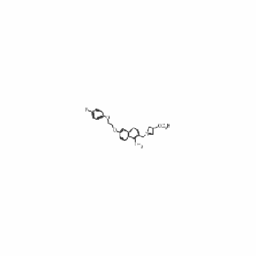 CC1=C(CN2CC(C(=O)O)C2)CCc2cc(OCCOc3ccc(F)cc3)ccc21